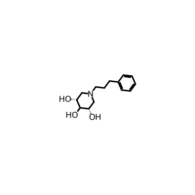 OC1[C@H](O)CN(CCCc2ccccc2)C[C@@H]1O